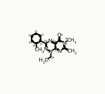 C=c1nc2c(c(=O)n1C)=NC(c1ccccc1C)=NN2CC